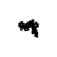 CCOC(=O)Cn1ncc2c1CCCC2N(C)S(=O)(=O)c1ccc(Oc2ccccc2C)c(Cl)c1